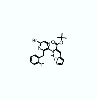 CC(C)(C)OC(=O)/C(=C/c1ccco1)Nc1ncc(Br)nc1Cc1ccccc1F